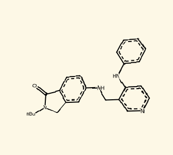 CCCCN1Cc2cc(NCc3cnccc3Nc3ccccc3)ccc2C1=O